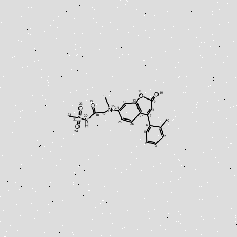 Cc1ccccc1-c1cc(=O)oc2cc(N(C)CC(=O)NS(C)(=O)=O)ccc12